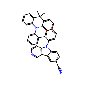 CC1(C)c2ccccc2N(c2ccccc2-c2ccccc2-n2c3ccncc3c3cc(C#N)ccc32)c2ccccc21